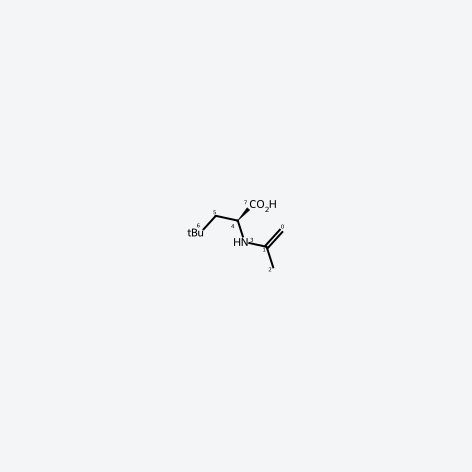 C=C(C)N[C@@H](CC(C)(C)C)C(=O)O